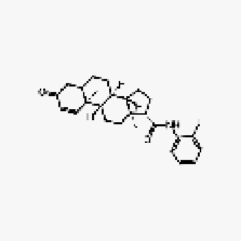 C[C@]12CC[C@H]3[C@@H](CCC4CC(=O)C=C[C@@]43C)[C@@H]1CC[C@@H]2C(=O)Nc1ccccc1I